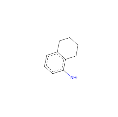 [NH]c1cccc2c1CCCC2